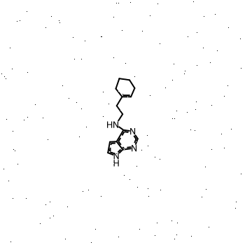 C1=C(CCNc2ncnc3[nH]ccc23)CCCC1